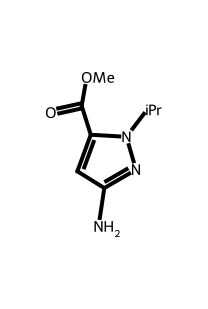 COC(=O)c1cc(N)nn1C(C)C